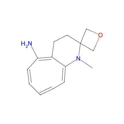 CN1C2=C/C=C\C=C/C(N)=C\2CCC12COC2